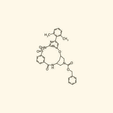 Cc1cccc(C)c1-c1cc2nc(n1)NS(=O)(=O)c1cccc(c1)C(=O)NC1CC(CN(C(=O)OCc3ccccc3)C1)O2